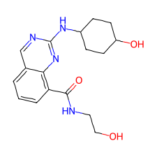 O=C(NCCO)c1cccc2cnc(NC3CCC(O)CC3)nc12